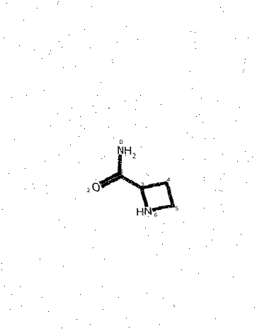 NC(=O)C1CCN1